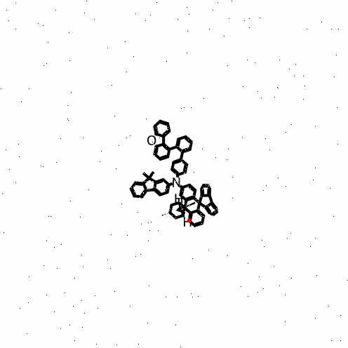 CC1(C)c2ccccc2-c2ccc(N(c3ccc(-c4ccccc4-c4cccc5oc6ccccc6c45)cc3)c3ccc4c(c3)C3(c5ccccc5C45c4ccccc4-c4ccccc45)[C@H]4C[C@@H](C)C[C@@H]3C[C@@H](C)C4)cc21